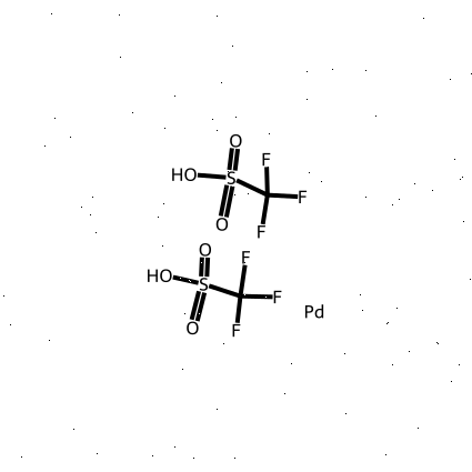 O=S(=O)(O)C(F)(F)F.O=S(=O)(O)C(F)(F)F.[Pd]